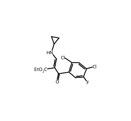 CCOC(=O)C(=CNC1CC1)C(=O)c1cc(F)c(Cl)cc1Cl